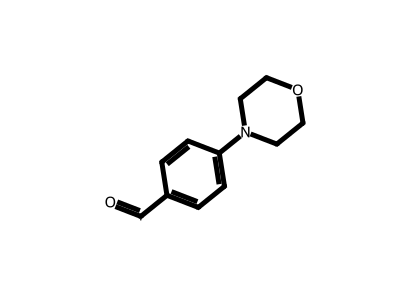 O=[C]c1ccc(N2CCOCC2)cc1